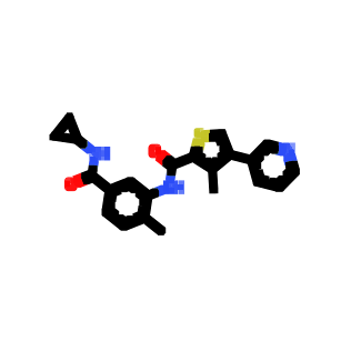 Cc1ccc(C(=O)NC2CC2)cc1NC(=O)c1scc(-c2cccnc2)c1C